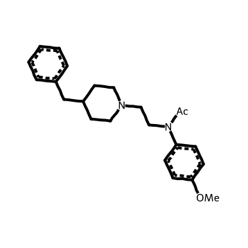 COc1ccc(N(CCN2CCC(Cc3ccccc3)CC2)C(C)=O)cc1